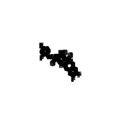 O=C(NCc1ccc(F)cc1F)C1=CN2C(=C(O)C1)C(=O)N1Cc3cc(F)c(F)cc3C[C@H]2C1